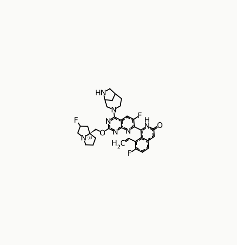 C=Cc1c(F)ccc2cc(=O)[nH]c(-c3nc4nc(OC[C@@]56CCCN5CC(F)C6)nc(N5CCC6CNC(C6)C5)c4cc3F)c12